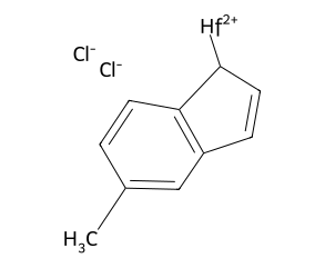 Cc1ccc2c(c1)C=C[CH]2[Hf+2].[Cl-].[Cl-]